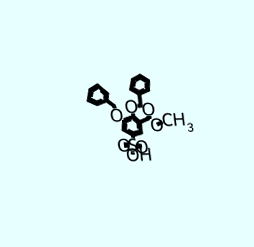 COC(=O)c1cc(S(=O)(=O)O)cc(OCc2ccccc2)c1OCc1ccccc1